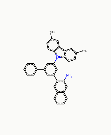 CC(C)(C)c1ccc2c(c1)c1cc(C(C)(C)C)ccc1n2-c1cc(-c2ccccc2)cc(-c2cc3ccccc3cc2N)c1